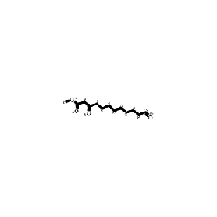 COC(=O)CC(=O)CCCCCCCCC=O